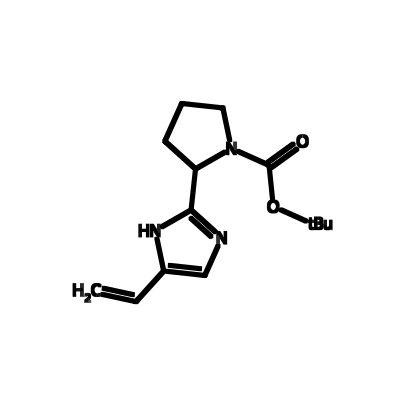 C=Cc1cnc(C2CCCN2C(=O)OC(C)(C)C)[nH]1